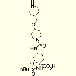 CCCCS(=O)(=O)N[C@]1(C(=O)O)CC[C@H](NC(=O)N2CCC(OCC3CCNCC3)CC2)CC1